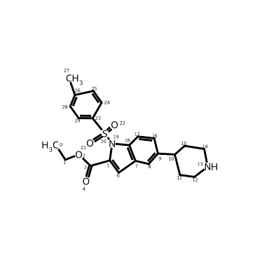 CCOC(=O)c1cc2cc(C3CCNCC3)ccc2n1S(=O)(=O)c1ccc(C)cc1